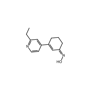 CCc1cc(C2=CC(=NO)CCC2)ccn1